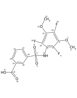 COc1c(F)c(NS(=O)(=O)c2cccc(C(=O)O)c2)c(F)c(OC)c1F